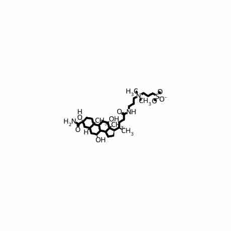 C[C@H](CCC(=O)NCCC[N+](C)(C)CCCS(=O)(=O)[O-])[C@H]1CCC2C3C(C[C@H](O)[C@@]21C)[C@@]1(C)CC[C@](O)(C(N)=O)C[C@H]1C[C@H]3O